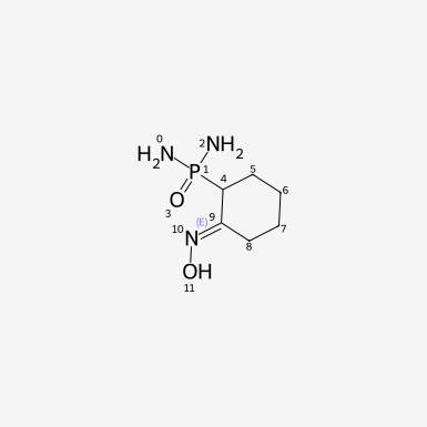 NP(N)(=O)C1CCCC/C1=N\O